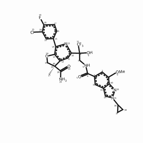 COc1cc(C(=O)NCC(O)(c2cc3c(c(-c4ccc(F)c(Cl)c4)n2)OC[C@]3(C)C(N)=O)C(F)(F)F)cc2cn(C3CC3)nc12